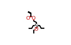 C=CC(=O)OCC[Si](CCC)(CCC)OCC